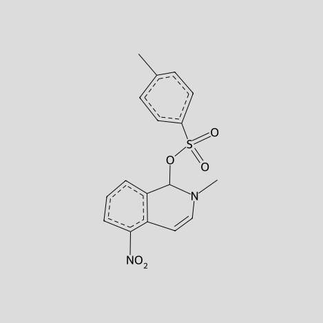 Cc1ccc(S(=O)(=O)OC2c3cccc([N+](=O)[O-])c3C=CN2C)cc1